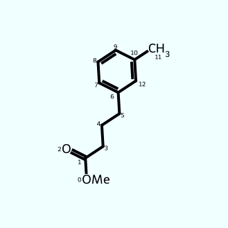 COC(=O)CCCc1cccc(C)c1